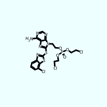 Nc1ncnc2c1nc(Sc1nc3cccc(Cl)c3s1)n2CCOP(=O)(OCCCl)OCCCl